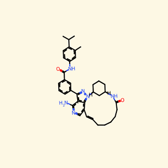 Cc1cc(NC(=O)c2cccc(-c3nn4c5c(cnc(N)c35)/C=C/CCCCCC(=O)N[C@@H]3CCC[C@@H]4C3)c2)ccc1C(C)C